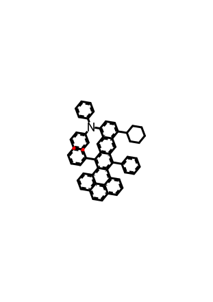 c1ccc(-c2c3cc4c(C5CCCCC5)ccc(N(c5ccccc5)c5ccccc5)c4cc3c(-c3ccccc3)c3c4cccc5ccc6cccc(c23)c6c54)cc1